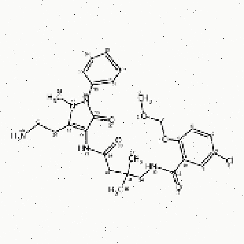 COCOc1ccc(Cl)cc1C(=O)NCC(C)(C)CC(=O)Nc1c(CCN)n(C)n(-c2ccccc2)c1=O